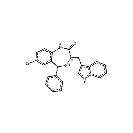 O=C1Nc2ccc(Cl)cc2C(c2ccccc2)N[C@@H]1Cc1c[nH]c2ccccc12